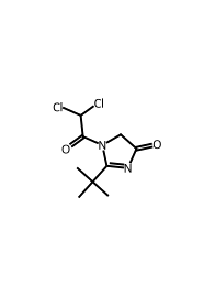 CC(C)(C)C1=NC(=O)CN1C(=O)C(Cl)Cl